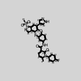 Cc1ccc(C(=O)Nc2ccc(Oc3cc4cnn(S(C)(=O)=O)c4cc3-c3cn[nH]c3)c(F)c2)c(=O)n1-c1ccc(F)cc1